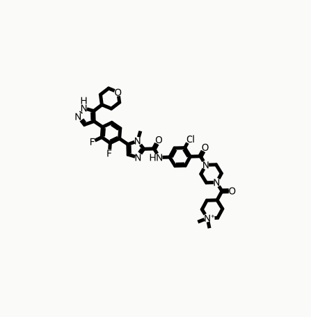 Cn1c(-c2ccc(-c3cn[nH]c3C3CCOCC3)c(F)c2F)cnc1C(=O)Nc1ccc(C(=O)N2CCN(C(=O)C3CC[N+](C)(C)CC3)CC2)c(Cl)c1